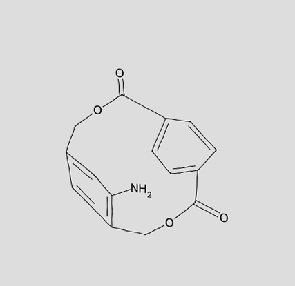 Nc1cc2ccc1COC(=O)c1ccc(cc1)C(=O)OC2